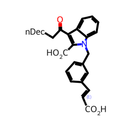 CCCCCCCCCCCC(=O)c1c(C(=O)O)n(Cc2cccc(/C=C/C(=O)O)c2)c2ccccc12